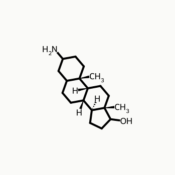 C[C@]12CCC(N)CC1CC[C@@H]1[C@H]2CC[C@]2(C)C(O)CC[C@@H]12